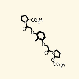 Cc1c(OCC(=O)N2CCC[C@@H]2C(=O)O)cccc1OCC(=O)N1CCC[C@H]1OC(=O)O